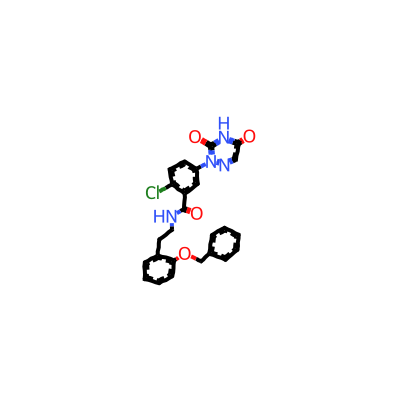 O=C(NCCc1ccccc1OCc1ccccc1)c1cc(-n2ncc(=O)[nH]c2=O)ccc1Cl